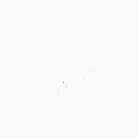 C=COC(=O)N1Cc2cccc(OC)c2OC(c2ccc(Cl)cc2)C1